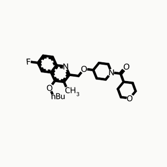 CCCCOc1c(C)c(COC2CCN(C(=O)C3CCOCC3)CC2)nc2ccc(F)cc12